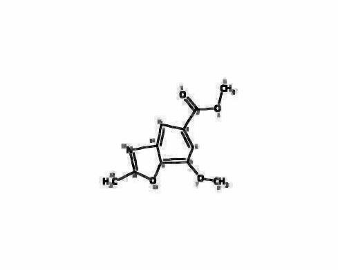 COC(=O)c1cc(OC)c2oc(C)nc2c1